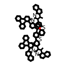 CC1c2ccc3ccccc3c2N=C(n2c3ccc4c5ccccc5c5ccccc5c4c3c3ccc4c(-c5ccc6c(c5)sc5cc(C7C(n8c9ccc%10c%11ccccc%11c%11ccccc%11c%10c9c9ccc%10ccccc%10c98)=Nc8ccc9ccccc9c8C7C)ccc56)cccc4c32)C1c1ccc2c(c1)sc1ccccc12